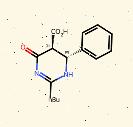 CCCCC1=NC(=O)[C@@H](C(=O)O)[C@H](c2ccccc2)N1